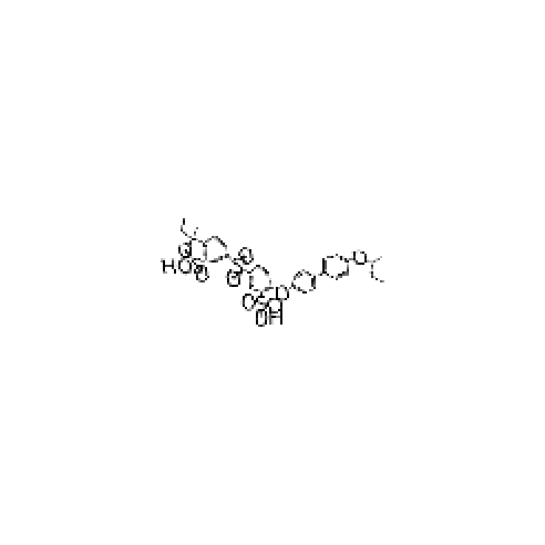 CCC(C)Oc1ccc(-c2ccc(Oc3ccc(S(=O)(=O)c4ccc(C(C)(C)CC)c(S(=O)(=O)O)c4)cc3S(=O)(=O)O)cc2)cc1